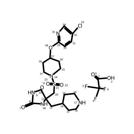 O=C(O)C(F)(F)F.O=C1NC(=O)C(CC2CCNCC2)(CS(=O)(=O)N2CCC(Oc3ccc(Cl)cn3)CC2)N1